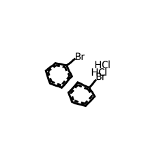 Brc1ccccc1.Brc1ccccc1.Cl.Cl